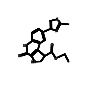 CCOC(=O)C1CNc2c1c1cc(-c3csc(C)n3)ccc1[nH]c2=O